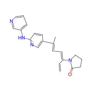 C=C/C(=C\C=C(/C)c1ccc(Nc2cccnc2)nc1)N1CCCC1=O